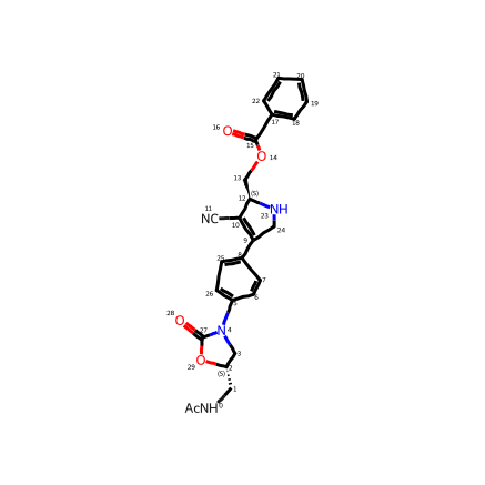 CC(=O)NC[C@H]1CN(c2ccc(C3=C(C#N)[C@@H](COC(=O)c4ccccc4)NC3)cc2)C(=O)O1